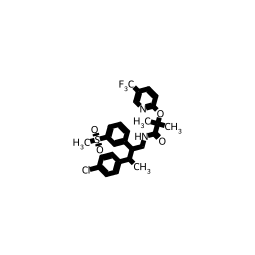 CC(c1ccc(Cl)cc1)C(CNC(=O)C(C)(C)Oc1ccc(C(F)(F)F)cn1)c1cccc(S(C)(=O)=O)c1